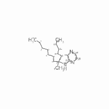 CCCCCCCC(C)(CCCCC)Nc1cnccn1